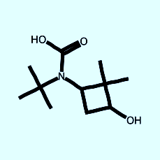 CC1(C)C(O)CC1N(C(=O)O)C(C)(C)C